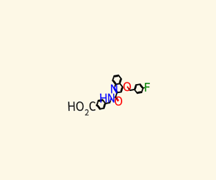 O=C(O)c1ccc(CNC(=O)c2cc(OCc3ccc(F)cc3)c3ccccc3n2)cc1